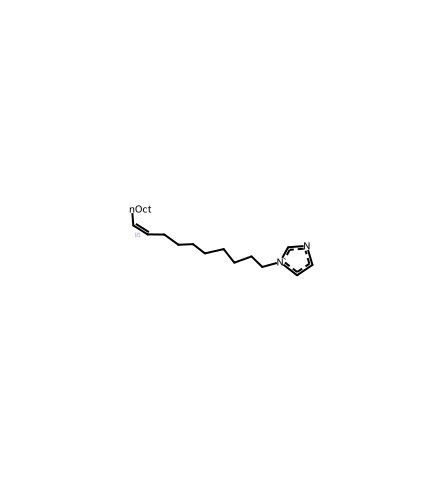 CCCCCCCC/C=C\CCCCCCCCn1ccnc1